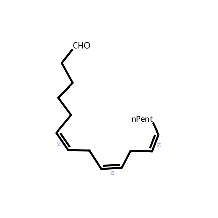 CCCCC/C=C\C/C=C\C/C=C\CCCCC=O